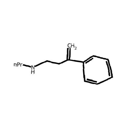 C=C(CCNCCC)c1ccccc1